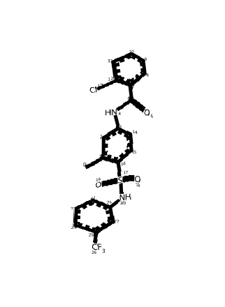 Cc1cc(NC(=O)c2ccccc2Cl)ccc1S(=O)(=O)Nc1cccc(C(F)(F)F)c1